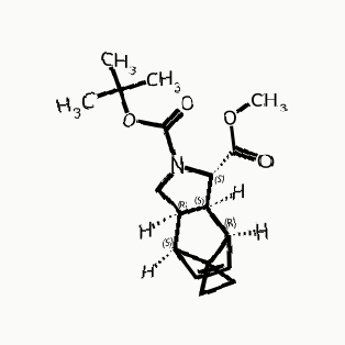 COC(=O)[C@@H]1[C@@H]2[C@H](CN1C(=O)OC(C)(C)C)[C@@H]1C=C[C@H]2C12CC2